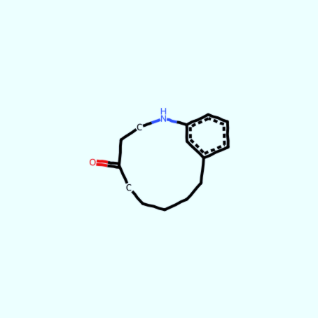 O=C1CCCCCc2cccc(c2)NCC1